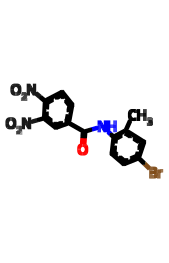 Cc1cc(Br)ccc1NC(=O)c1ccc([N+](=O)[O-])c([N+](=O)[O-])c1